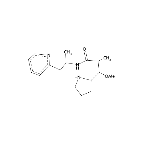 COC(C1CCCN1)C(C)C(=O)NC(C)Cc1ccccn1